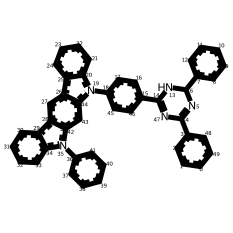 c1ccc(C2=NC(c3ccccc3)NC(c3ccc(-n4c5ccccc5c5cc6c7ccccc7n(-c7ccccc7)c6cc54)cc3)=N2)cc1